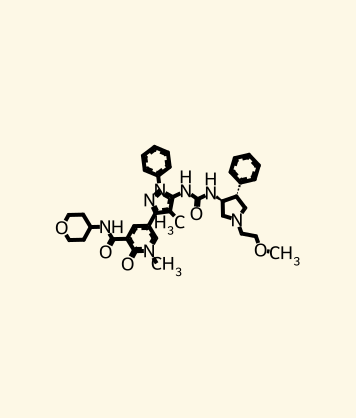 COCCN1C[C@@H](NC(=O)Nc2c(C)c(-c3cc(C(=O)NC4CCOCC4)c(=O)n(C)c3)nn2-c2ccccc2)[C@H](c2ccccc2)C1